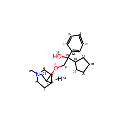 C[N+]12CCC(CC1)[C@H](OC[C@](O)(c1ccccc1)C1CCCC1)C2